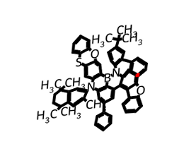 Cc1cc2c(cc1N1c3cc4c(cc3B3c5c(cc(-c6ccccc6)cc51)-c1c(ccc5oc6ccccc6c15)N3c1ccc(C(C)(C)C)cc1-c1ccccc1)Oc1ccccc1S4)C(C)(C)CCC2(C)C